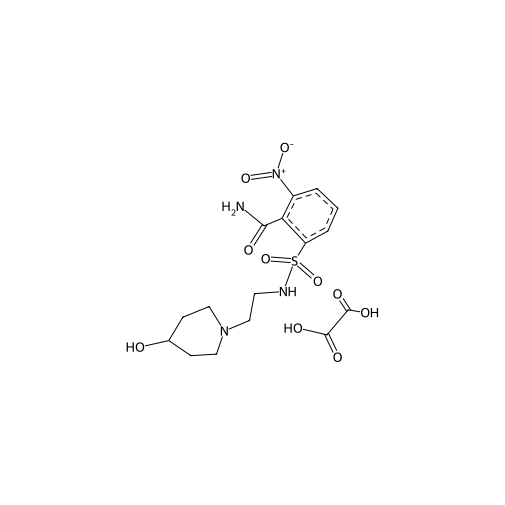 NC(=O)c1c([N+](=O)[O-])cccc1S(=O)(=O)NCCN1CCC(O)CC1.O=C(O)C(=O)O